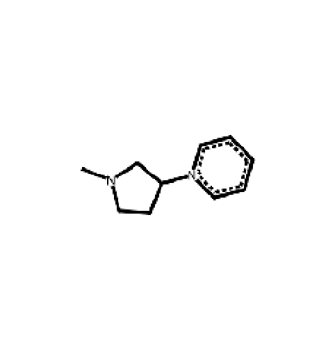 CN1CCC([n+]2ccccc2)C1